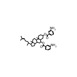 CC(C)=CCCC(C)C1CCC2C3CC(OC(=O)c4cccc(N)c4)C4CC(OC(=O)c5cccc(N)c5)CCC4(C)C3CCC12C